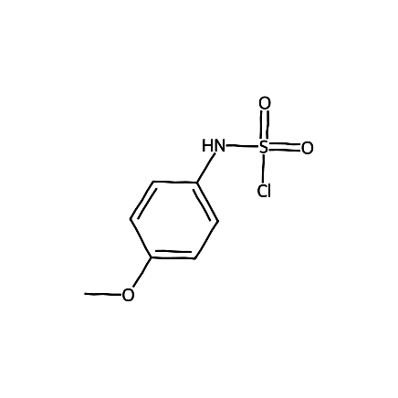 COc1ccc(NS(=O)(=O)Cl)cc1